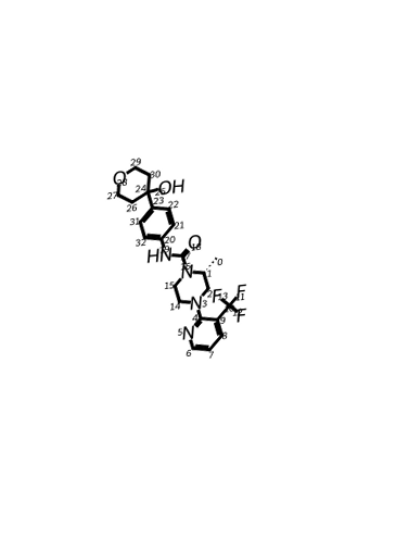 C[C@@H]1CN(c2ncccc2C(F)(F)F)CCN1C(=O)Nc1ccc(C2(O)CCOCC2)cc1